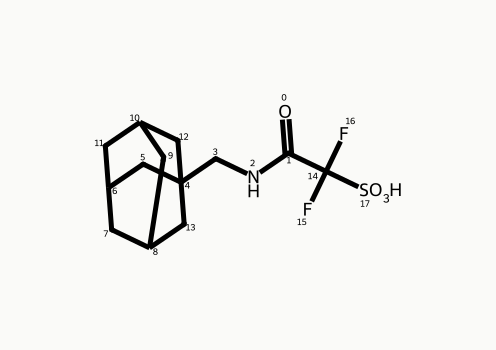 O=C(NCC12CC3CC(CC(C3)C1)C2)C(F)(F)S(=O)(=O)O